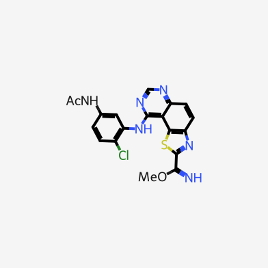 COC(=N)c1nc2ccc3ncnc(Nc4cc(NC(C)=O)ccc4Cl)c3c2s1